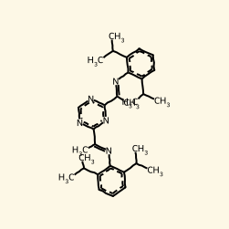 CC(=Nc1c(C(C)C)cccc1C(C)C)c1ncnc(C(C)=Nc2c(C(C)C)cccc2C(C)C)n1